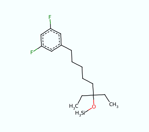 CCC(CC)(CCCCCc1cc(F)cc(F)c1)O[SiH3]